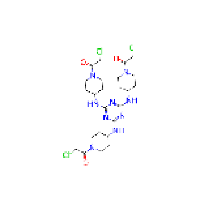 O=C(CCl)N1CCC(Nc2nc(NC3CCN(C(=O)CCl)CC3)nc(NC3CCN(C(=O)CCl)CC3)n2)CC1